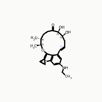 CCNc1cc(C)c2c(c1)/C=C/C[C@H](O)[C@H](O)C(=O)CC[C@@H](C)[C@H](C)OC2=C1CC1